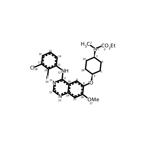 CCOC(=O)N(C)[C@H]1CC[C@@H](Oc2cc3c(Nc4cccc(Cl)c4F)ncnc3cc2OC)CC1